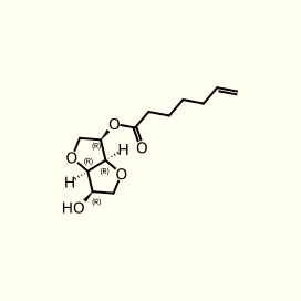 C=CCCCCC(=O)O[C@@H]1CO[C@H]2[C@@H]1OC[C@H]2O